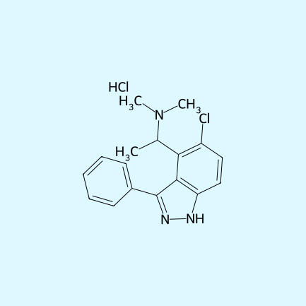 CC(c1c(Cl)ccc2[nH]nc(-c3ccccc3)c12)N(C)C.Cl